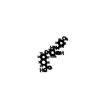 COc1ccc(CNc2cc(Oc3ccc4c(c3)CC(C(=O)O)CC4)cc[n+]2O)cc1